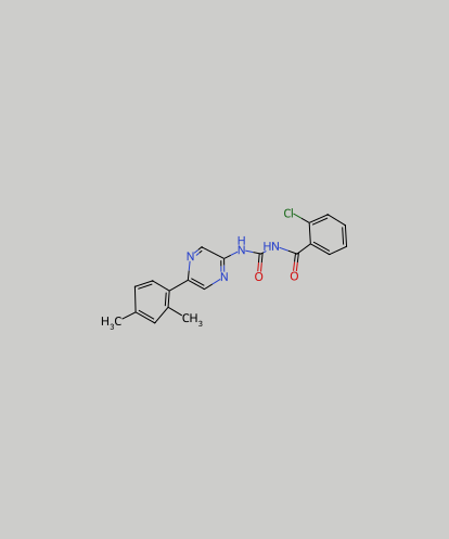 Cc1ccc(-c2cnc(NC(=O)NC(=O)c3ccccc3Cl)cn2)c(C)c1